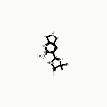 CC(C)C1(C)N=C(c2cc3c(nc2C(=O)O)COC3)NC1=O